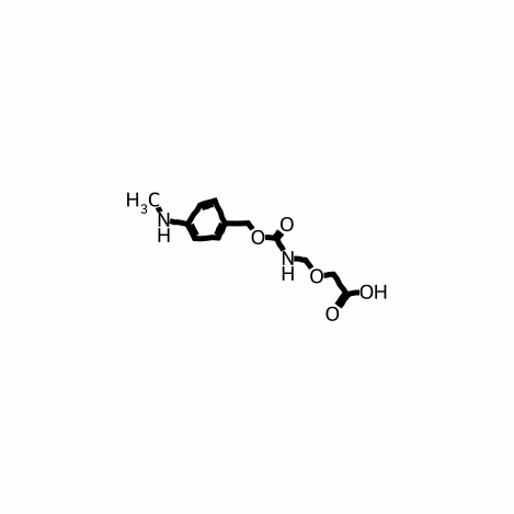 CNc1ccc(COC(=O)NCOCC(=O)O)cc1